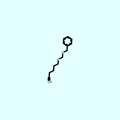 C#CCCCCOCOCc1ccccc1